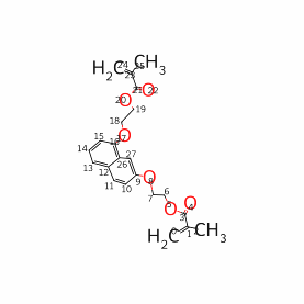 C=C(C)C(=O)OCCOc1ccc2cccc(OCCOC(=O)C(=C)C)c2c1